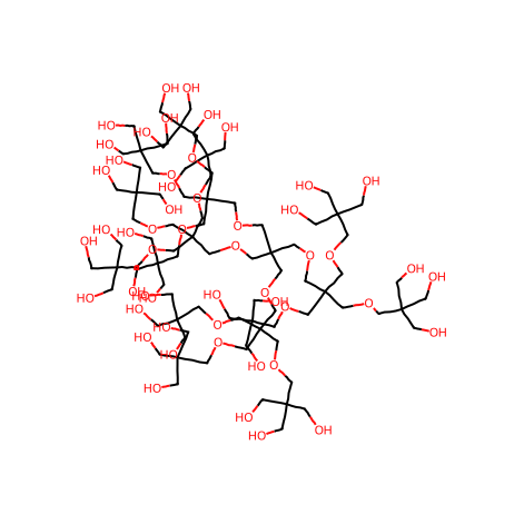 OCC(CO)(CO)COCC(COCC(CO)(CO)CO)(COCC(CO)(CO)CO)COCC(COCC(COCC(CO)(CO)CO)(COCC(CO)(CO)CO)COCC(CO)(CO)CO)(COCC(COCC(CO)(CO)CO)(COCC(CO)(CO)CO)COCC(CO)(CO)CO)COCC(COCC(CO)(CO)CO)(COCC(CO)(CO)CO)COCC(CO)(CO)CO